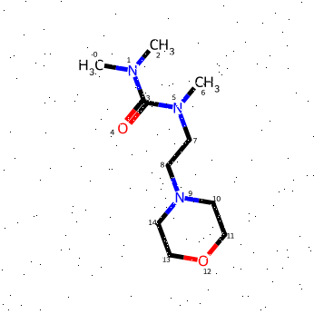 CN(C)C(=O)N(C)CCN1CCOCC1